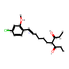 CCC(=O)C(CCCC/C=C/c1ccc(Cl)cc1OC)C(=O)CC